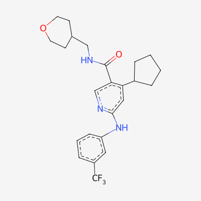 O=C(NCC1CCOCC1)c1cnc(Nc2cccc(C(F)(F)F)c2)cc1C1CCCC1